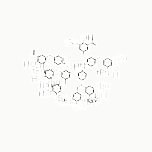 C=C(C)c1cc(Cc2ccc(Nc3c(Cc4cc(C(C)(C)C)c(O)c(C(C)(C)C)c4)cc(Cc4cc(C(C)(C)C)c(O)c(C(C)(C)C)c4)cc3Cc3cc(C(Cc4cc(C(C)(C)C)c(O)c(C(C)(C)C)c4)c4cc(C(C)(C)C)c(O)c(C(C)(C)C)c4)ccc3Nc3ccc(Cc4cc(C(C)(C)C)c(O)c(C(C)(C)C)c4)cc3Cc3cc(C(=C)C)c(O)c(C(C)(C)C)c3)cc2)cc(C(C)(C)C)c1O